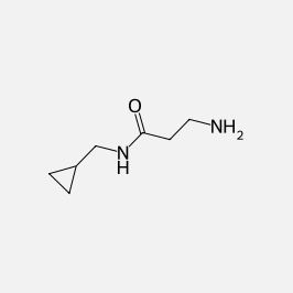 NCCC(=O)NCC1CC1